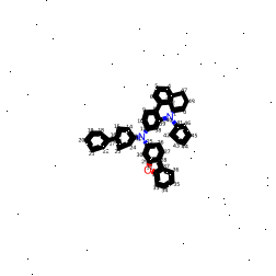 C1=C2c3c(cccc3-c3ccc(N(c4ccc(-c5ccccc5)cc4)c4ccc5c(c4)oc4ccccc45)cc3N2c2ccccc2)CC1